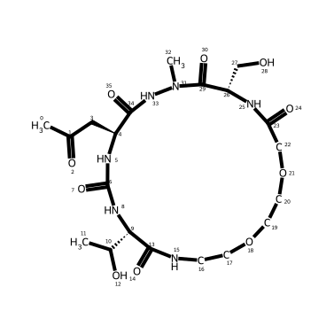 CC(=O)C[C@@H]1NC(=O)N[C@@H](C(C)O)C(=O)NCCOCCOCC(=O)N[C@@H](CO)C(=O)N(C)NC1=O